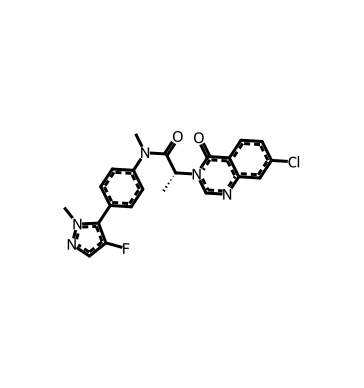 C[C@H](C(=O)N(C)c1ccc(-c2c(F)cnn2C)cc1)n1cnc2cc(Cl)ccc2c1=O